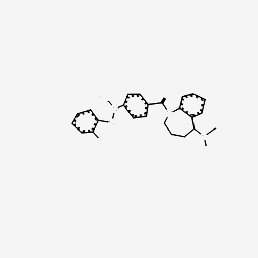 CC(=O)N(Nc1ccccc1Cl)c1ccc(C(=O)N2CCCC(N(C)C)c3ccccc32)cc1